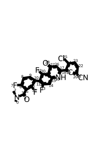 CN(C)C(=O)c1c(F)ccc(-c2c(F)cc3[nH]c(-c4cc(C#N)ccc4Cl)cc(=O)c3c2F)c1F